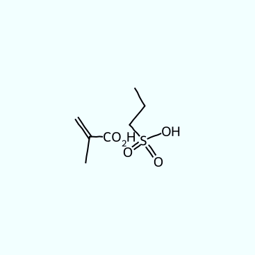 C=C(C)C(=O)O.CCCS(=O)(=O)O